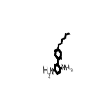 CCCCCCc1ccc(-c2cc(N)ccc2N)cc1